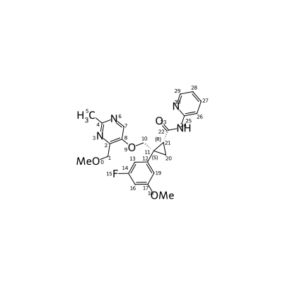 COCc1nc(C)ncc1OC[C@@]1(c2cc(F)cc(OC)c2)C[C@H]1C(=O)Nc1ccccn1